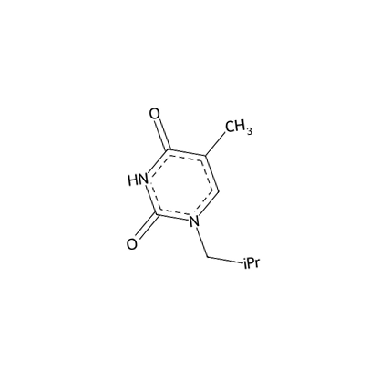 Cc1cn(CC(C)C)c(=O)[nH]c1=O